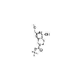 COCc1nc(O)c2c(n1)CN(C(=O)OC(C)(C)C)CC2